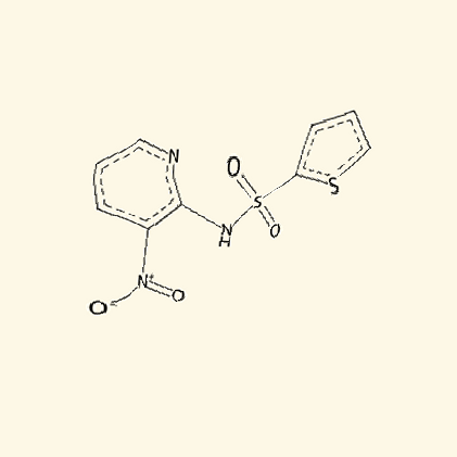 O=[N+]([O-])c1cccnc1NS(=O)(=O)c1cccs1